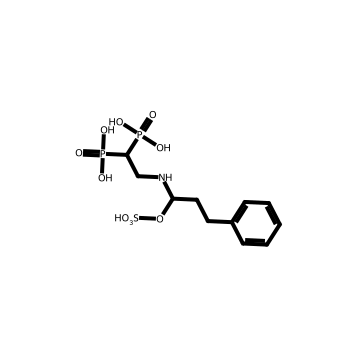 O=P(O)(O)C(CNC(CCc1ccccc1)OS(=O)(=O)O)P(=O)(O)O